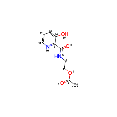 CCC(=O)OCCNC(=O)c1ncccc1O